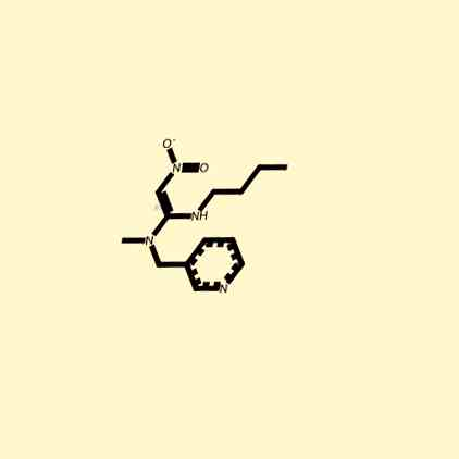 CCCCN/C(=C\[N+](=O)[O-])N(C)Cc1cccnc1